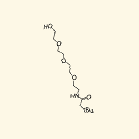 CC(C)(C)CC(=O)NCCOCCOCCOCCO